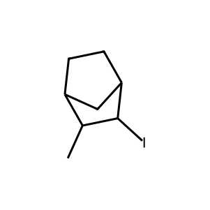 CC1C2CCC(C2)C1I